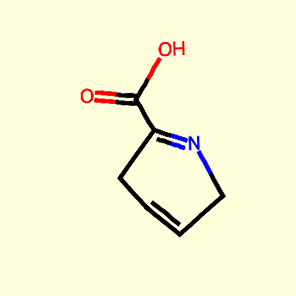 O=C(O)C1=NCC=CC1